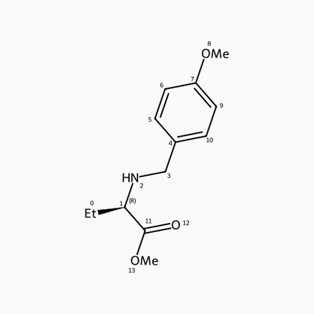 CC[C@@H](NCc1ccc(OC)cc1)C(=O)OC